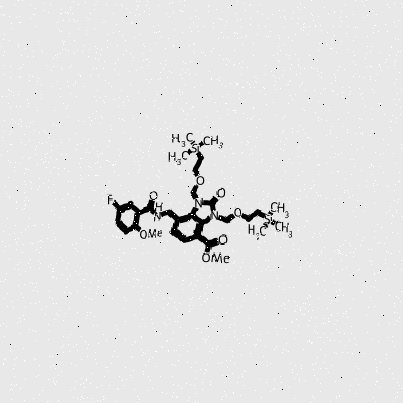 COC(=O)c1ccc(CNC(=O)c2cc(F)ccc2OC)c2c1n(COCC[Si](C)(C)C)c(=O)n2COCC[Si](C)(C)C